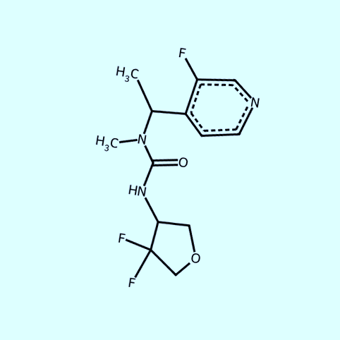 CC(c1ccncc1F)N(C)C(=O)NC1COCC1(F)F